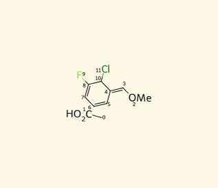 CC(=O)O.COC=C1C=CC=C(F)C1Cl